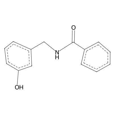 O=C(NCc1cccc(O)c1)c1ccccc1